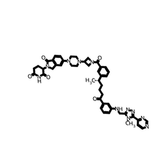 C[C@@H](CCCC(=O)c1cccc(NCc2nnc(-c3ccncn3)n2C)c1)c1cccc(C(=O)N2CC(N3CCN(c4ccc5c(c4)CN(C4CCC(=O)NC4=O)C5=O)CC3)C2)c1